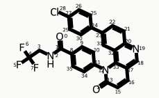 O=C(NCC(F)(F)F)c1ccc(-n2c(=O)ccc3cnc4ccc(-c5ccc(Cl)cc5)cc4c32)cc1